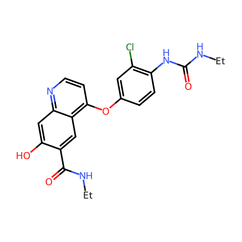 CCNC(=O)Nc1ccc(Oc2ccnc3cc(O)c(C(=O)NCC)cc23)cc1Cl